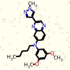 CCCCCN(c1cc(OC)cc(OC)c1)c1ccc2ncc(-c3cnn(C)c3)nc2c1